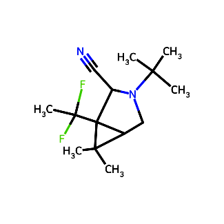 CC(C)(C)N1CC2C(C)(C)C2(C(C)(F)F)C1C#N